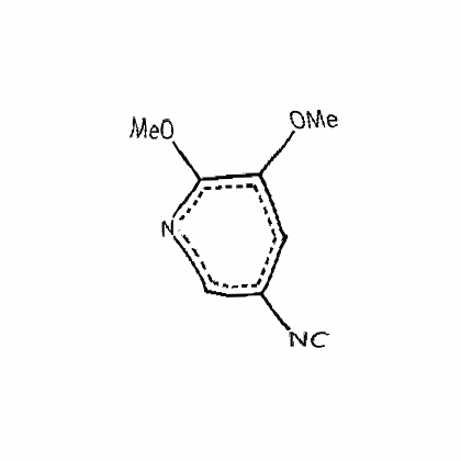 [C-]#[N+]c1cnc(OC)c(OC)c1